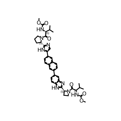 COC(=O)N[C@H](C(=O)N1CCC[C@H]1c1ncc(-c2ccc3cc(-c4ccc5[nH]c([C@@H]6CCN6C(=O)[C@@H](NC(=O)OC)C(C)C)nc5c4)ccc3c2)[nH]1)C(C)C